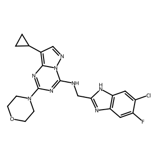 Fc1cc2nc(CNc3nc(N4CCOCC4)nc4c(C5CC5)cnn34)[nH]c2cc1Cl